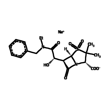 CCN(Cc1ccccc1)C(=O)[C@@H](O)[C@@H]1C(=O)N2[C@@H](C(=O)[O-])C(C)(C)S(=O)(=O)[C@H]12.[Na+]